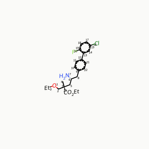 CCOC[C@](C)(C[C@H](N)Cc1ccc(-c2cc(Cl)ccc2F)cc1)C(=O)OCC